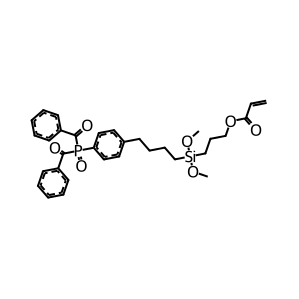 C=CC(=O)OCCC[Si](CCCCc1ccc(P(=O)(C(=O)c2ccccc2)C(=O)c2ccccc2)cc1)(OC)OC